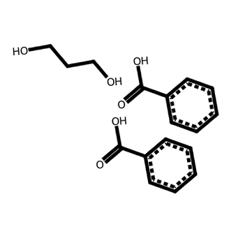 O=C(O)c1ccccc1.O=C(O)c1ccccc1.OCCCO